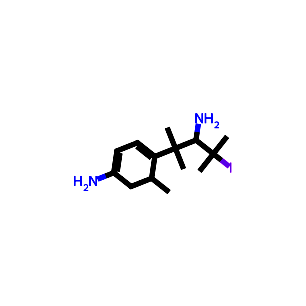 CC1CC(N)=CC=C1C(C)(C)C(N)C(C)(C)I